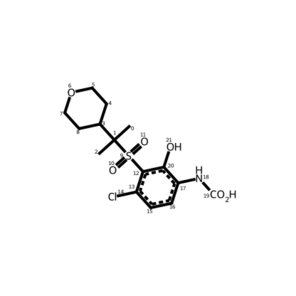 CC(C)(C1CCOCC1)S(=O)(=O)c1c(Cl)ccc(NC(=O)O)c1O